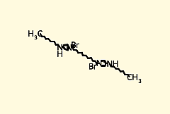 CCCCCCCCCNc1cc[n+](C(Br)CCCCCCCCCCC(Br)[n+]2ccc(NCCCCCCCCC)cc2)cc1